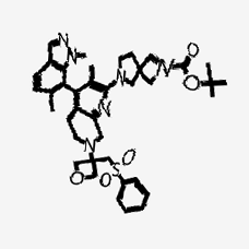 Cc1ccc2cnn(C)c2c1-c1c(C)c(N2CCC3(CN(C(=O)OC(C)(C)C)C3)C2)nc2c1CCN(C1(CS(=O)(=O)c3ccccc3)COC1)C2